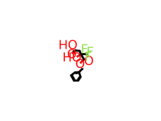 O=C(O)CC(O)(C(=O)OCc1ccccc1)C(F)(F)F